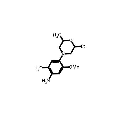 CCC1CN(c2cc(C)c(N)cc2OC)CC(C)O1